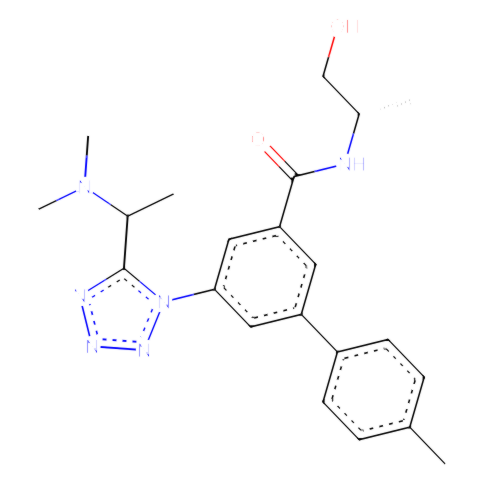 Cc1ccc(-c2cc(C(=O)N[C@@H](C)CO)cc(-n3nnnc3C(C)N(C)C)c2)cc1